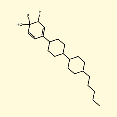 CCCCCC1CCC(C2CCC(C3=CC(F)C(O)(F)C=C3)CC2)CC1